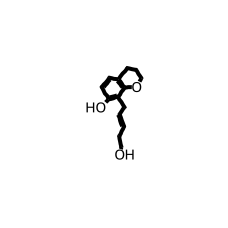 OCCC=CCc1c(O)ccc2c1OCCC2